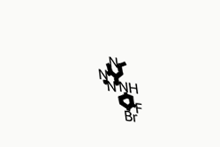 Cc1cc2c(Nc3ccc(Br)c(F)c3)ncnc2cn1